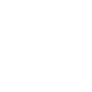 CCNC1CCN(CC2CC2)CC1